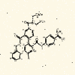 COCN(CC(C)(C)C)C(=O)c1ccc(-c2ccc(C)nc2C(=O)Nc2ccc(C(=N)N)cc2)c(C(=O)OCc2ccccc2)c1